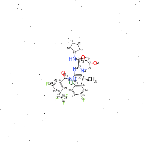 CC(=O)Cn1c(C(=O)NC2CCCC2)nc(NC(=O)c2cc(F)cc(C(F)(F)F)c2)c1[C@H](C)c1cc(F)ccc1Cl